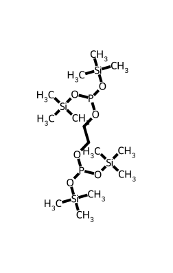 C[Si](C)(C)OP(OCCOP(O[Si](C)(C)C)O[Si](C)(C)C)O[Si](C)(C)C